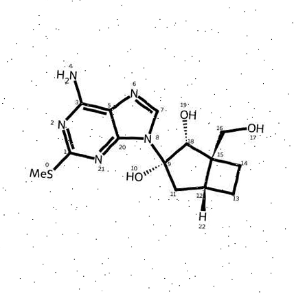 CSc1nc(N)c2ncn([C@]3(O)C[C@H]4CC[C@@]4(CO)[C@H]3O)c2n1